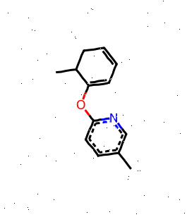 Cc1ccc(OC2=CC=CCC2C)nc1